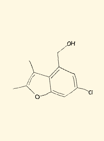 Cc1oc2cc(Cl)cc(CO)c2c1C